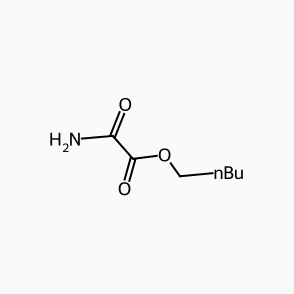 CCCCCOC(=O)C(N)=O